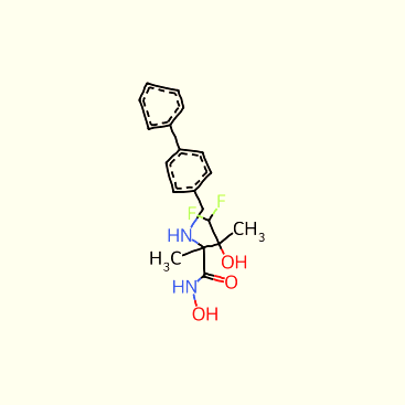 CC(NCc1ccc(-c2ccccc2)cc1)(C(=O)NO)C(C)(O)C(F)F